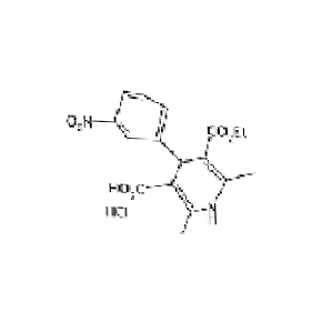 CCOC(=O)C1=C(C)NC(C)=C(C(=O)O)C1c1cccc([N+](=O)[O-])c1.Cl